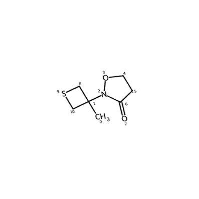 CC1(N2OC[CH]C2=O)CSC1